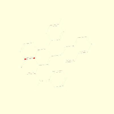 Cc1ccc(B(/C(=C(/c2ccc(C)cc2)c2ccccc2N(C)C)c2ccc3ccccc3c2)c2ccccc2)cc1